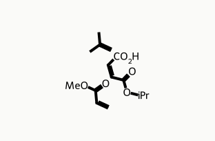 C=C(C)C.C=CC(=O)OC.CC(C)OC(=O)/C=C\C(=O)O